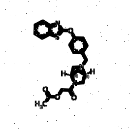 CC(=O)OCC(=O)N1C[C@H]2C[C@@H]1CN2Cc1ccc(Oc2nc3ccccc3s2)cc1